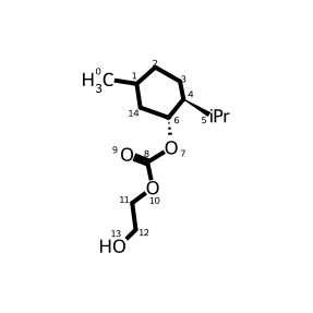 CC1CC[C@@H](C(C)C)[C@H](OC(=O)OCCO)C1